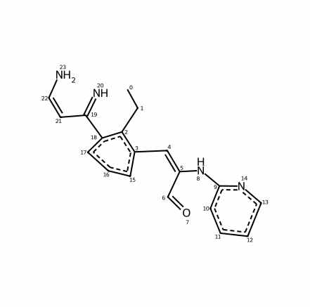 CCc1c(/C=C(\C=O)Nc2ccccn2)cccc1C(=N)/C=C\N